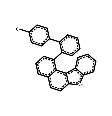 Clc1ccc(-c2ccccc2-c2cccc3ccc4[nH]c5ccccc5c4c23)cc1